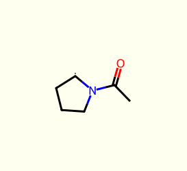 CC(=O)N1[CH]CCC1